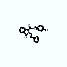 O=C(NCc1ccc(Cl)cc1)C1c2ccccc2C(=O)N1CCc1ccccn1